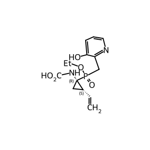 C=C[C@@H]1C[C@@]1(NC(=O)O)P(=O)(Cc1ncccc1O)OCC